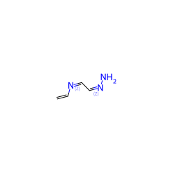 C=C/N=C\C=N/N